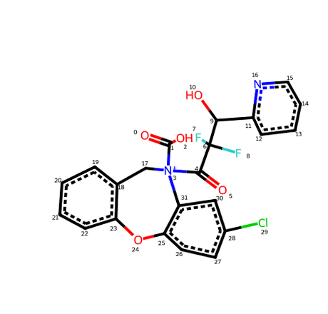 O=C(O)[N+]1(C(=O)C(F)(F)C(O)c2ccccn2)Cc2ccccc2Oc2ccc(Cl)cc21